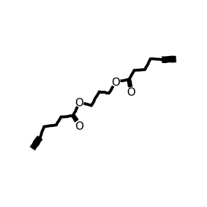 C#CCCCC(=O)OCCCOC(=O)CCCC#C